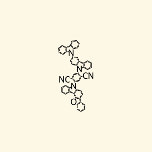 N#Cc1cc(-n2c3ccccc3c3c4oc5ccccc5c4ccc32)c(C#N)cc1-n1c2ccccc2c2cc(-n3c4ccccc4c4ccccc43)ccc21